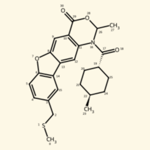 CSCc1ccc2oc3cc4c(cc3c2c1)N(C(=O)[C@H]1CC[C@H](C)CC1)C(C)OC4=O